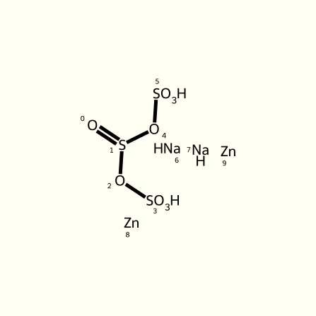 O=S(OS(=O)(=O)O)OS(=O)(=O)O.[NaH].[NaH].[Zn].[Zn]